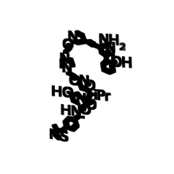 Cc1ncsc1-c1ccc([C@H](C)NC(=O)[C@@H]2C[C@@H](O)CN2C(=O)[C@@H](c2cc(OCCN3CCN(CCOc4cc(C#Cc5cc(-c6ccccc6O)nnc5N)ccn4)CC3)no2)C(C)C)cc1